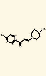 CCCN1CCN(C=CC(=O)c2ccc(O)cc2)CC1